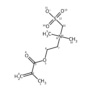 C=C(C)C(=O)OCC[N+](C)(C)CS(=O)(=O)[O-]